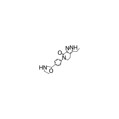 CCc1[nH]nc2c1CCN(c1ccc(C3CNCCO3)cc1)C2=O